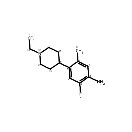 Cc1cc(N)c(F)cc1C1CCN(CC(F)(F)F)CC1